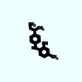 Cc1ccc(Nc2ccc(C(C)CN)cc2)c(O)c1